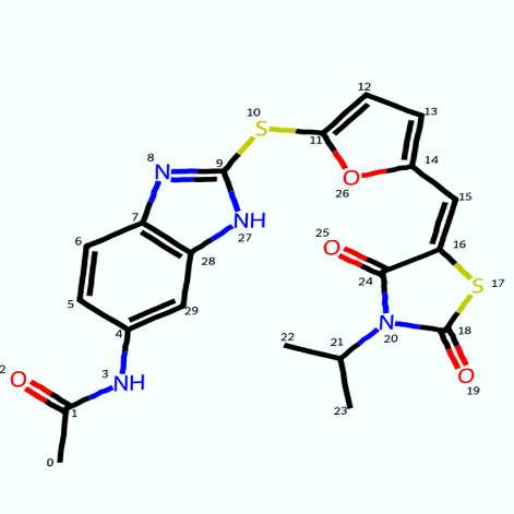 CC(=O)Nc1ccc2nc(Sc3ccc(C=C4SC(=O)N(C(C)C)C4=O)o3)[nH]c2c1